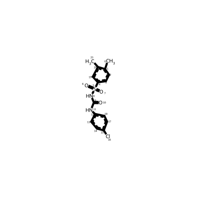 Cc1ccc(S(=O)(=O)NC(=O)Nc2ccc(Cl)cc2)cc1C